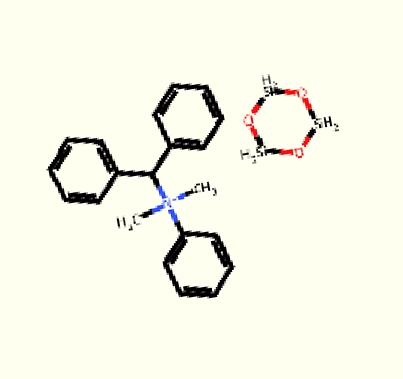 C[N+](C)(c1ccccc1)C(c1ccccc1)c1ccccc1.O1[SiH2]O[SiH2]O[SiH2]1